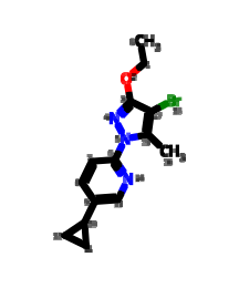 CCOc1nn(-c2ccc(C3CC3)cn2)c(C)c1Br